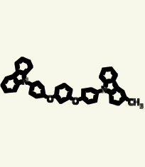 Cc1ccc2c(c1)c1ccccc1n2-c1ccc(Oc2cccc(Oc3ccc(-n4c5ccccc5c5ccccc54)cc3)c2)cc1